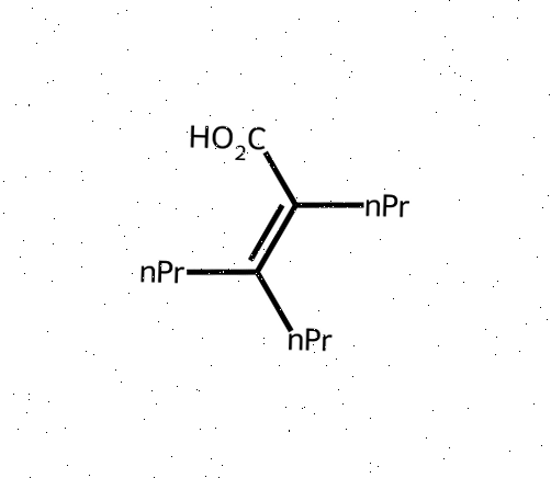 CCCC(CCC)=C(CCC)C(=O)O